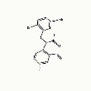 C=Cc1cc(Cl)ccc1N(Cc1cc(Br)ccc1Br)C(C)=O